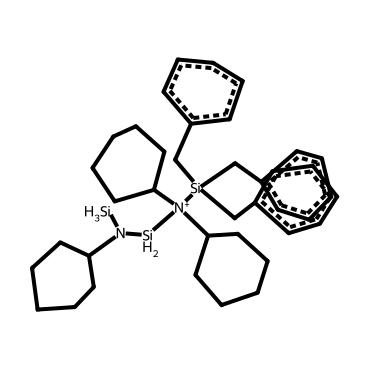 [SiH3]N([SiH2][N+](C1CCCCC1)(C1CCCCC1)[Si](Cc1ccccc1)(Cc1ccccc1)Cc1ccccc1)C1CCCCC1